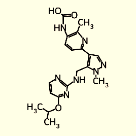 Cc1nc(-c2cnn(C)c2CNc2nccc(OC(C)C)n2)ccc1NC(=O)O